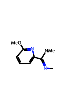 C/N=C(\NC)c1cccc(OC)n1